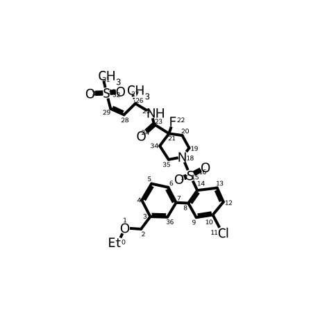 CCOCc1cccc(-c2cc(Cl)ccc2S(=O)(=O)N2CCC(F)(C(=O)N[C@@H](C)/C=C\S(C)(=O)=O)CC2)c1